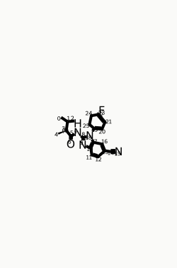 CC(C)[C@H](C)C(=O)Nc1nc2ccc(C#N)cc2n1C1=CC=C(F)CC1